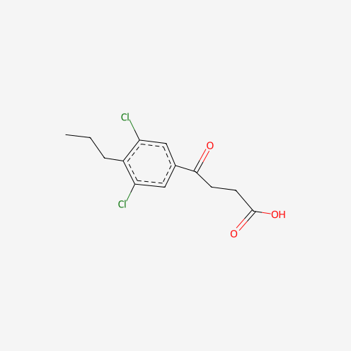 CCCc1c(Cl)cc(C(=O)CCC(=O)O)cc1Cl